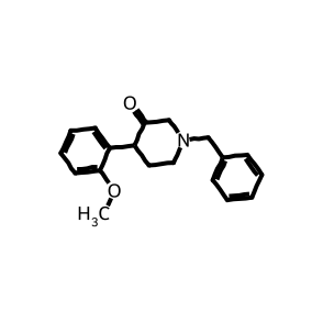 COc1ccccc1C1CCN(Cc2ccccc2)CC1=O